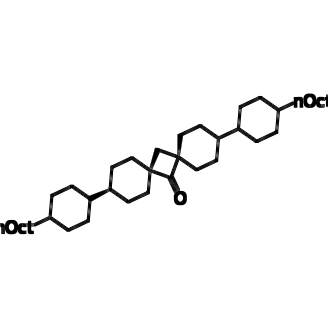 CCCCCCCCC1CCC(C2CC[C@]3(CC2)C[C@@]2(CC[C@H](C4CCC(CCCCCCCC)CC4)CC2)C3=O)CC1